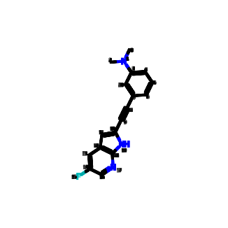 CN(C)c1cccc(C#Cc2cc3cc(F)cnc3[nH]2)c1